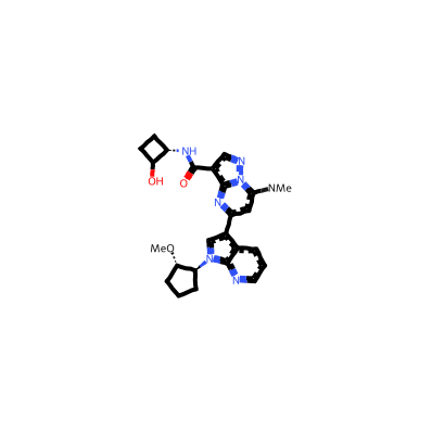 CNc1cc(-c2cn([C@H]3CCC[C@@H]3OC)c3ncccc23)nc2c(C(=O)N[C@H]3CCC3O)cnn12